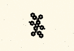 Cc1ccc(-c2c3ccc(N(c4ccccc4)c4ccc5ccccc5c4)cc3c(-c3ccc(C)cc3)c3ccc(N(c4ccccc4)c4ccc5ccccc5c4)cc23)cc1